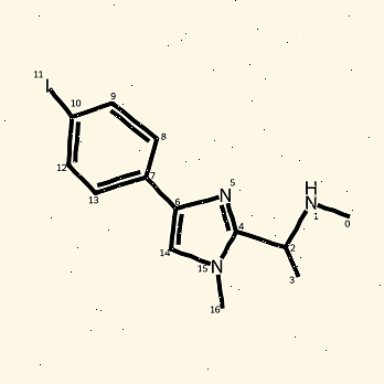 CNC(C)c1nc(-c2ccc(I)cc2)cn1C